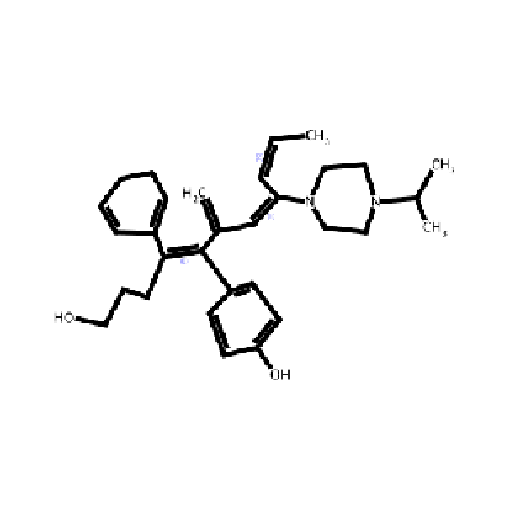 C=C(/C=C(\C=C/C)N1CCN(C(C)C)CC1)/C(=C(/CCCO)C1=CCCC=C1)c1ccc(O)cc1